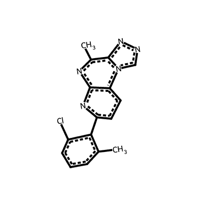 Cc1cccc(Cl)c1-c1ccc2c(n1)nc(C)c1nncn12